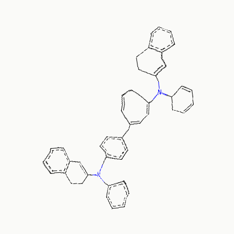 C1=CCC(N(C2=CC=C(c3ccc(N(C4=Cc5ccccc5CC4)c4ccccc4)cc3)C=CC2)C2=Cc3ccccc3CC2)C=C1